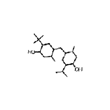 CC(C)C1CC(CC2CC(C(C)(C)C)C(O)CC2C)C(C)CC1O